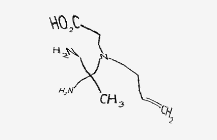 C=CCN(CC(=O)O)C(C)(N)N